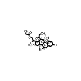 CCC(=O)OCC(=O)[C@]1(OC(=O)CC)[C@@H](C)C[C@H]2[C@@H]3[C@H](Br)CC4=CC(=O)C=C[C@]4(C)[C@@]3(Cl)[C@@H](O)C[C@@]21C